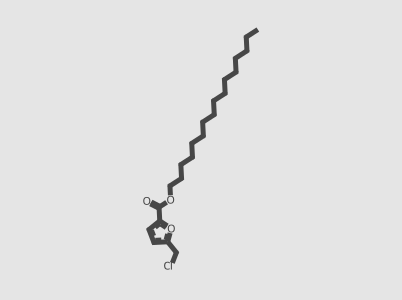 CCCCCCCCCCCCCCCCOC(=O)c1ccc(CCl)o1